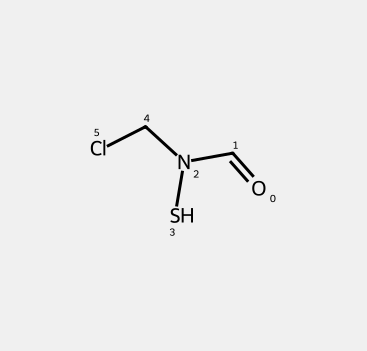 O=CN(S)CCl